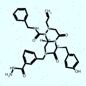 C=CCN1CC(=O)N2[C@@H](Cc3ccc(O)cc3)C(=O)N(Cc3cccc(C(=O)NN)c3)C[C@@H]2N1C(=O)NCc1ccccc1